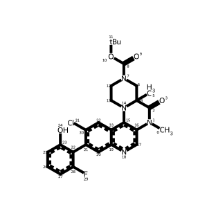 CN1C(=O)C2(C)CN(C(=O)OC(C)(C)C)CCN2c2c1cnc1cc(-c3c(O)cccc3F)c(Cl)cc21